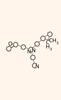 CC1(C)c2ccccc2-c2ccc(-c3ccc(-c4cc(-c5ccc(-c6ccc7oc8ccccc8c7c6)cc5)nc(-c5ccc(-c6cccnc6)cc5)n4)cc3)cc21